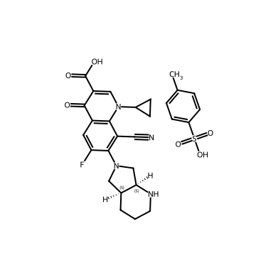 Cc1ccc(S(=O)(=O)O)cc1.N#Cc1c(N2C[C@@H]3CCCN[C@@H]3C2)c(F)cc2c(=O)c(C(=O)O)cn(C3CC3)c12